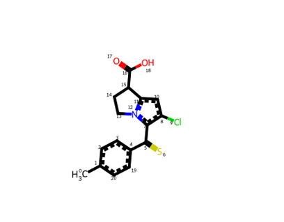 Cc1ccc(C(=S)c2c(Cl)cc3n2CCC3C(=O)O)cc1